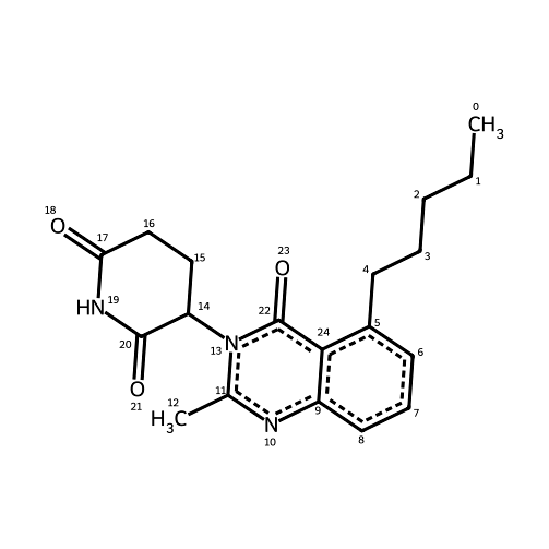 CCCCCc1cccc2nc(C)n(C3CCC(=O)NC3=O)c(=O)c12